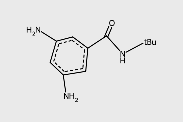 CC(C)(C)NC(=O)c1cc(N)cc(N)c1